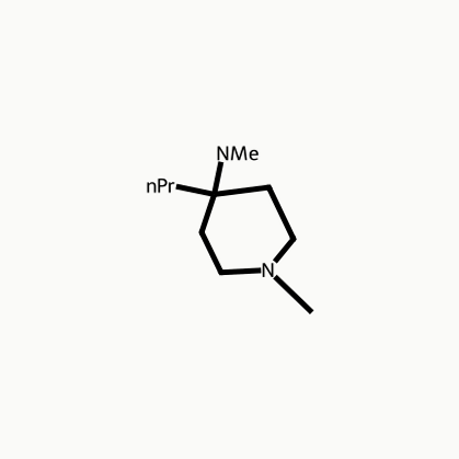 CCCC1(NC)CCN(C)CC1